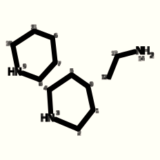 C1CCNCC1.C1CCNCC1.CCN